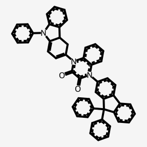 O=c1c(=O)n(-c2ccc3c(c2)C(c2ccccc2)(c2ccccc2)c2ccccc2-3)c2ccccc2n1C1=CC=C2C(C1)c1ccccc1N2c1ccccc1